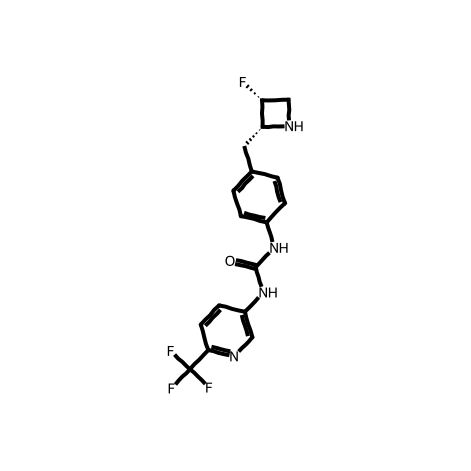 O=C(Nc1ccc(C[C@H]2NC[C@H]2F)cc1)Nc1ccc(C(F)(F)F)nc1